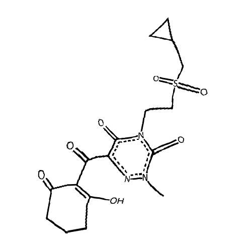 Cn1nc(C(=O)C2=C(O)CCCC2=O)c(=O)n(CCS(=O)(=O)CC2CC2)c1=O